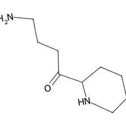 NCCCC(=O)C1CCCCN1